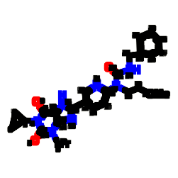 CCCn1c(=O)n(C2CC2)c(=O)c2[nH]c(-c3ccc(N(CCOC)C(=O)NCc4ccccc4)nc3)nc21